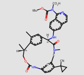 Cc1cc2ccc1[C@@H](C)COC(=O)Nc1ccc(C3(C#N)CC3)c(c1)CN(C)C(=O)[C@@H]2Nc1ccc2c(N(C(=O)O)C(=O)OC(C)(C)C)nccc2c1